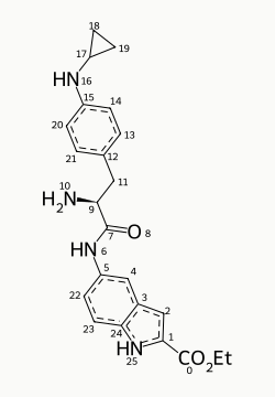 CCOC(=O)c1cc2cc(NC(=O)[C@@H](N)Cc3ccc(NC4CC4)cc3)ccc2[nH]1